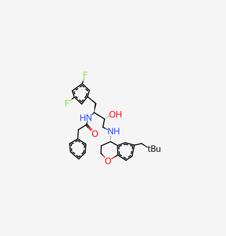 CC(C)(C)Cc1ccc2c(c1)[C@@H](NC[C@@H](O)[C@H](Cc1cc(F)cc(F)c1)NC(=O)Cc1ccccc1)CCO2